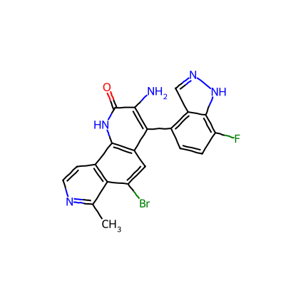 Cc1nccc2c1c(Br)cc1c(-c3ccc(F)c4[nH]ncc34)c(N)c(=O)[nH]c12